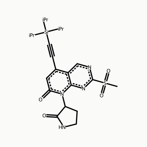 CC(C)[Si](C#Cc1cc(=O)n(C2CCNC2=O)c2nc(S(C)(=O)=O)ncc12)(C(C)C)C(C)C